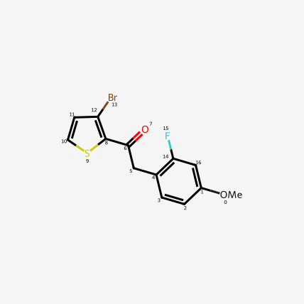 COc1ccc(CC(=O)c2sccc2Br)c(F)c1